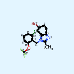 Cc1nc2ccc(Br)cc2n1Cc1c(Cl)cccc1OC(F)F